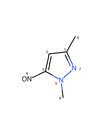 Cc1cc(N=O)n(C)n1